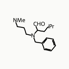 CNCCCN(Cc1ccccc1)C(C=O)CC(C)C